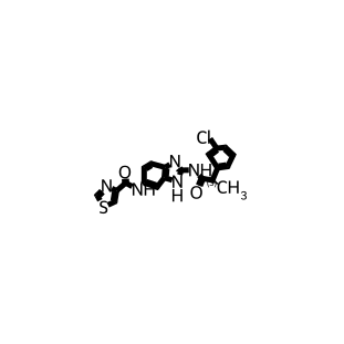 C[C@H](C(=O)Nc1nc2ccc(NC(=O)c3cscn3)cc2[nH]1)c1cccc(Cl)c1